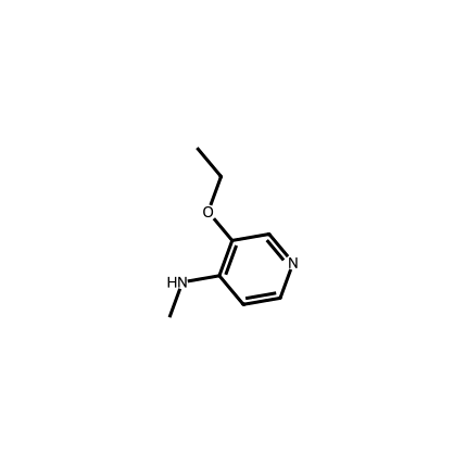 CCOc1cnccc1NC